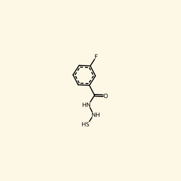 O=C(NNS)c1cccc(F)c1